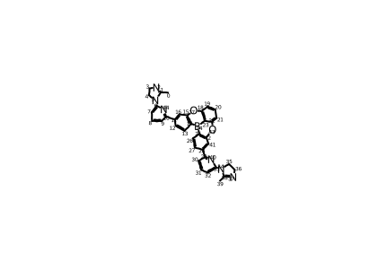 CC1=NCCN1c1cccc(-c2ccc3c(c2)Oc2cccc4c2B3c2ccc(-c3cccc(N5CCN=C5C)n3)cc2O4)n1